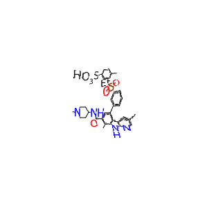 CCS(=O)(=O)c1cccc(-c2cc(C(=O)NC3CCN(C)CC3)c(C)c3[nH]c4ncc(C)cc4c23)c1.Cc1ccc(S(=O)(=O)O)cc1